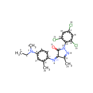 CCN(C)c1ccc(/N=C2\C(=O)N(c3c(Cl)cc(Cl)cc3Cl)N=C2C)c(C)c1